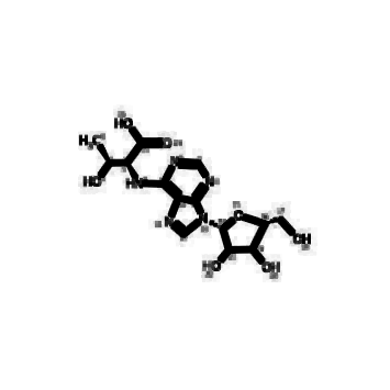 C[C@H](O)[C@H](Nc1ncnc2c1ncn2[C@@H]1O[C@H](CO)C(O)C1O)C(=O)O